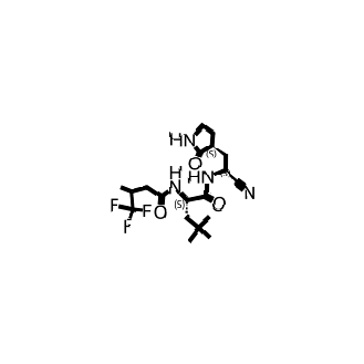 CC(CC(=O)N[C@@H](CC(C)(C)C)C(=O)N[C@H](C#N)C[C@@H]1CCNC1=O)C(F)(F)F